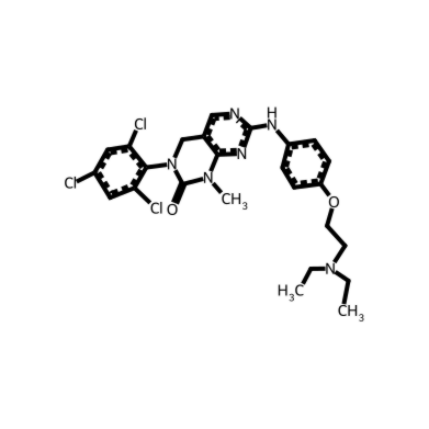 CCN(CC)CCOc1ccc(Nc2ncc3c(n2)N(C)C(=O)N(c2c(Cl)cc(Cl)cc2Cl)C3)cc1